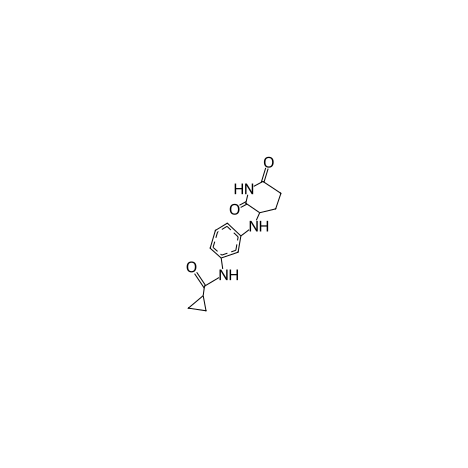 O=C1CCC(Nc2cccc(NC(=O)C3CC3)c2)C(=O)N1